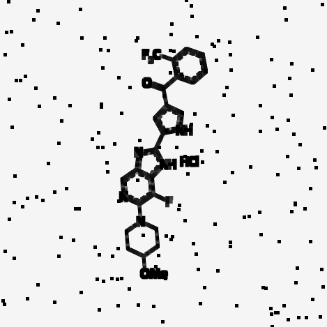 COC1CCN(c2ncc3nc(-c4cc(C(=O)c5ccccc5C(F)(F)F)c[nH]4)[nH]c3c2F)CC1.Cl